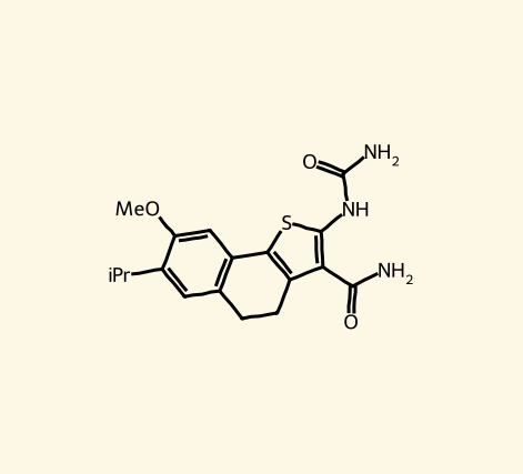 COc1cc2c(cc1C(C)C)CCc1c-2sc(NC(N)=O)c1C(N)=O